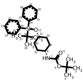 CC(C)(C)OC(=O)N[C@H]1CC[C@@H](O[Si](c2ccccc2)(c2ccccc2)C(C)(C)C)CC1